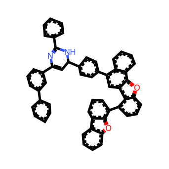 C1=C(c2cccc(-c3ccccc3)c2)N=C(c2ccccc2)NC1c1ccc(-c2cc3c(oc4cccc(-c5cccc6c5oc5ccccc56)c43)c3ccccc23)cc1